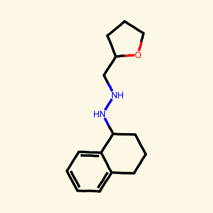 c1ccc2c(c1)CCCC2NNCC1CCCO1